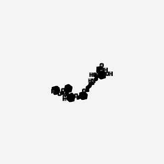 O=C(NC(c1ccccc1)c1cccc(OCc2cccc(OCCCCCNCC(O)c3ccc(O)c4[nH]c(=O)ccc34)c2)c1)OC1CN2CCC1CC2